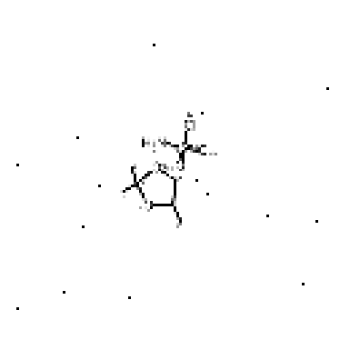 CC1COC(C)(C)O1.NS(=O)(=O)Cl